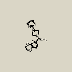 CC(c1ccc2c(n1)OCCO2)N1CCN(c2ncccn2)CC1